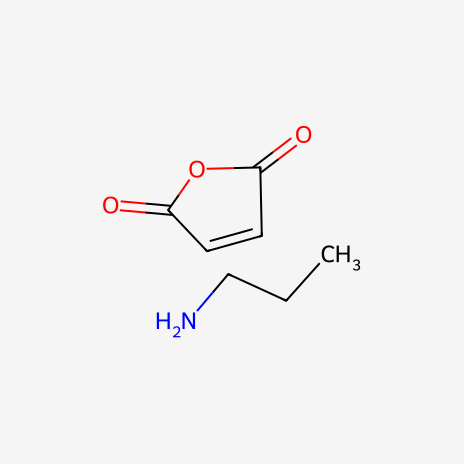 CCCN.O=C1C=CC(=O)O1